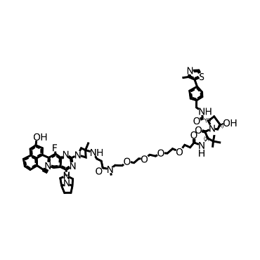 C#Cc1cccc2cc(O)cc(-c3ncc4c(N5CC6CCC(C5)N6)nc(N5CC(C)(NCCC(=O)N(C)CCOCCOCCOCCOCCC(=O)N[C@H](C(=O)N6C[C@H](O)C[C@H]6C(=O)NCc6ccc(-c7scnc7C)cc6)C(C)(C)C)C5)nc4c3F)c12